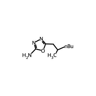 CCCCC(C)Cc1nnc(N)o1